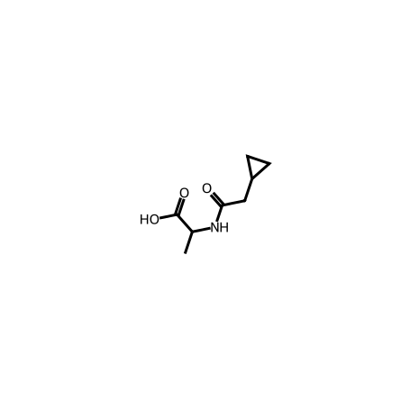 CC(NC(=O)CC1CC1)C(=O)O